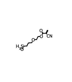 C=C(C#N)C(=O)OCCOCCC[SiH2][O]